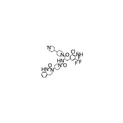 CNc1c(Cl)cc(C[C@@H](NC(=O)N2CCC(N3CCc4ccccc4NC3=O)CC2)C(=O)N2CCC(C3CCN(C)CC3)CC2)cc1C(F)(F)F